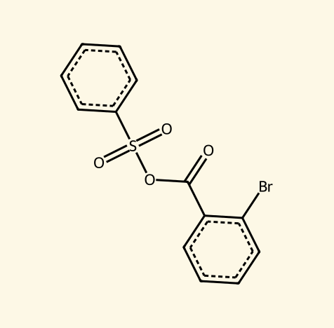 O=C(OS(=O)(=O)c1ccccc1)c1ccccc1Br